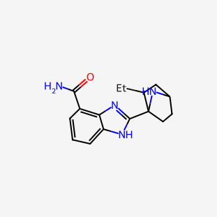 CCC1CC2CCC1(c1nc3c(C(N)=O)cccc3[nH]1)N2